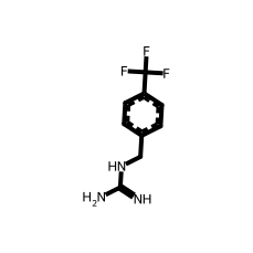 N=C(N)NCc1ccc(C(F)(F)F)cc1